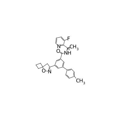 Cc1ccc(-c2cc(C(=O)N[C@H](C)c3ncccc3F)cc(C3=NOC4(CCC4)C3)c2)cc1